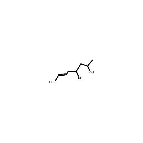 CC(O)CC(O)C/C=C/C=O